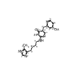 Cc1[nH]cnc1CSCCNc1ncc(Cc2cc(O)ccn2)c(=O)[nH]1